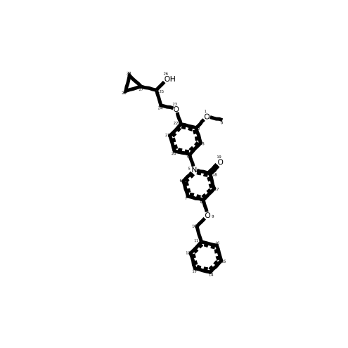 COc1cc(-n2ccc(OCc3ccccc3)cc2=O)ccc1OCC(O)C1CC1